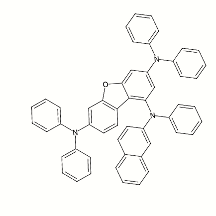 c1ccc(N(c2ccccc2)c2ccc3c(c2)oc2cc(N(c4ccccc4)c4ccccc4)cc(N(c4ccccc4)c4ccc5ccccc5c4)c23)cc1